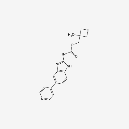 CC1(COC(=O)Nc2nc3cc(-c4ccncc4)ccc3[nH]2)COC1